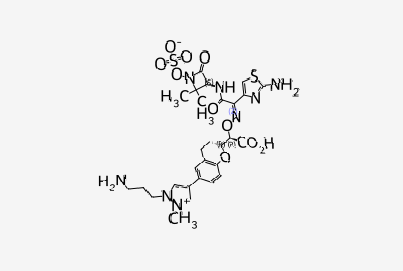 C[n+]1cc(-c2ccc3c(c2)CC[C@H]([C@@H](O/N=C(\C(=O)N[C@@H]2C(=O)N(OS(=O)(=O)[O-])C2(C)C)c2csc(N)n2)C(=O)O)O3)cn1CCCN